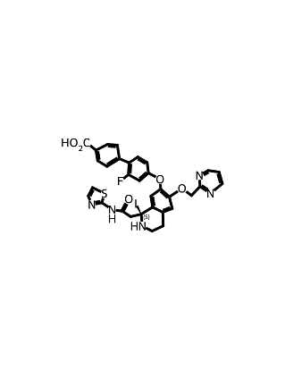 O=C(C[C@@]1(I)NCCc2cc(OCc3ncccn3)c(Oc3ccc(-c4ccc(C(=O)O)cc4)c(F)c3)cc21)Nc1nccs1